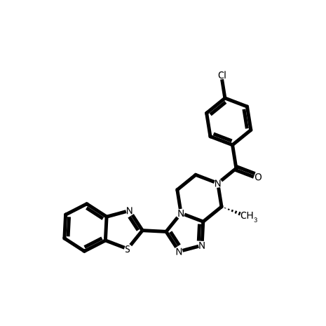 C[C@@H]1c2nnc(-c3nc4ccccc4s3)n2CCN1C(=O)c1ccc(Cl)cc1